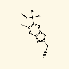 N#CCc1cc2cc(C(P)(P)P=O)c(Br)cc2s1